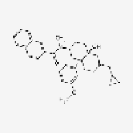 COc1cccc([C@@]23CCN(CC4CC4)C[C@@]2(O)CC[C@H](N(C)C(=O)c2ccc4ccccc4c2)C3)c1